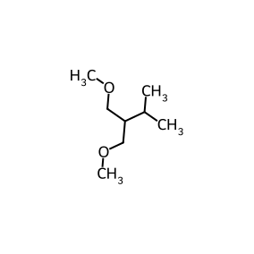 COCC(COC)C(C)C